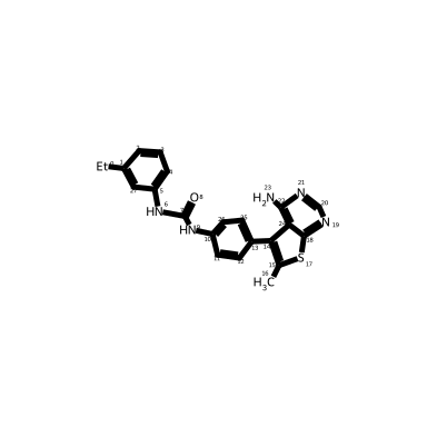 CCc1cccc(NC(=O)Nc2ccc(-c3c(C)sc4ncnc(N)c34)cc2)c1